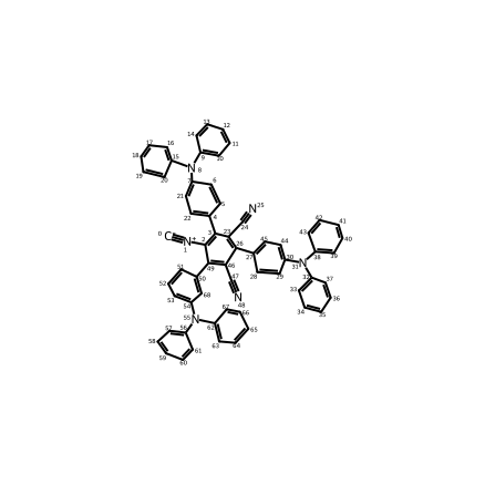 [C-]#[N+]c1c(-c2ccc(N(c3ccccc3)c3ccccc3)cc2)c(C#N)c(-c2ccc(N(c3ccccc3)c3ccccc3)cc2)c(C#N)c1-c1cccc(N(c2ccccc2)c2ccccc2)c1